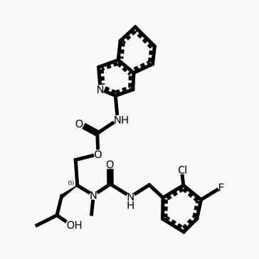 CC(O)C[C@@H](COC(=O)Nc1cc2ccccc2cn1)N(C)C(=O)NCc1cccc(F)c1Cl